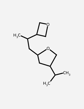 CC(C)C1COC(CC(C)C2COC2)C1